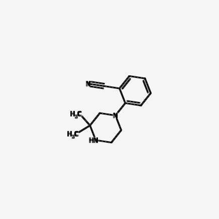 CC1(C)CN(c2ccccc2C#N)CCN1